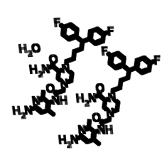 Cc1cc(N)nc(C)c1NC(=O)CN1CCN(CCCCC(c2ccc(F)cc2)c2ccc(F)cc2)C(C(N)=O)C1.Cc1cc(N)nc(C)c1NC(=O)CN1CCN(CCCCC(c2ccc(F)cc2)c2ccc(F)cc2)C(C(N)=O)C1.O